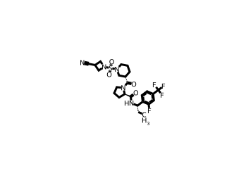 CC[C@H](NC(=O)[C@H]1CCCN1C(=O)[C@H]1CCCN(S(=O)(=O)N2CC(C#N)C2)C1)c1ccc(C(F)(F)F)cc1F